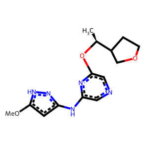 COc1cc(Nc2cncc(O[C@@H](C)C3CCOC3)n2)n[nH]1